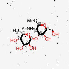 CO[C@@H]1O[C@H](CO)[C@@H](O)[C@H](O[C@@H]2O[C@@H](C)[C@@H](O)[C@@H](O)[C@@H]2O)[C@H]1NC(C)=O